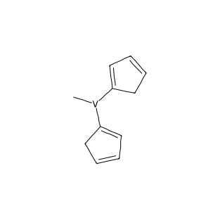 [CH3][V]([C]1=CC=CC1)[C]1=CC=CC1